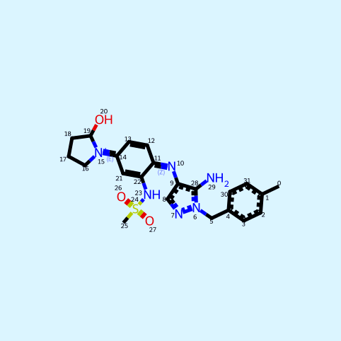 Cc1ccc(Cn2ncc(/N=C3C=C/C(=[N+]4/CCCC4O)C=C/3NS(C)(=O)=O)c2N)cc1